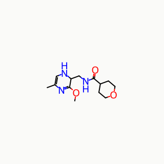 COC1=NC(C)=CNC1CNC(=O)C1CCOCC1